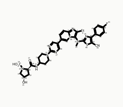 CCc1nc2ccc(-c3cnc(N4CCC(NC(=O)[C@H]5C[C@H](O)CN5C(=O)O)CC4)nc3)cn2c1N(C)c1nc(-c2ccc(F)cc2)c(C#N)s1